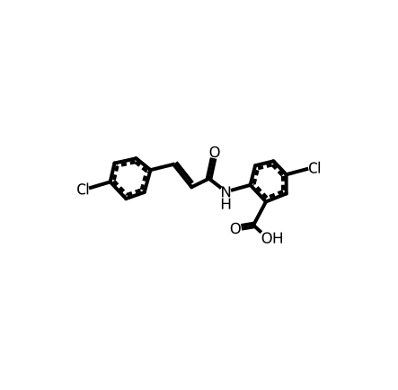 O=C(C=Cc1ccc(Cl)cc1)Nc1ccc(Cl)cc1C(=O)O